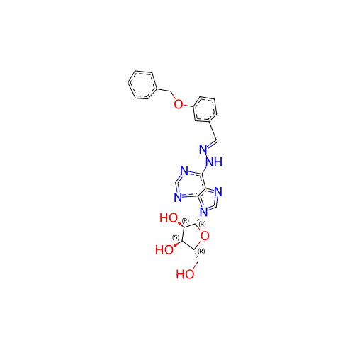 OC[C@H]1O[C@@H](n2cnc3c(NN=Cc4cccc(OCc5ccccc5)c4)ncnc32)[C@H](O)[C@@H]1O